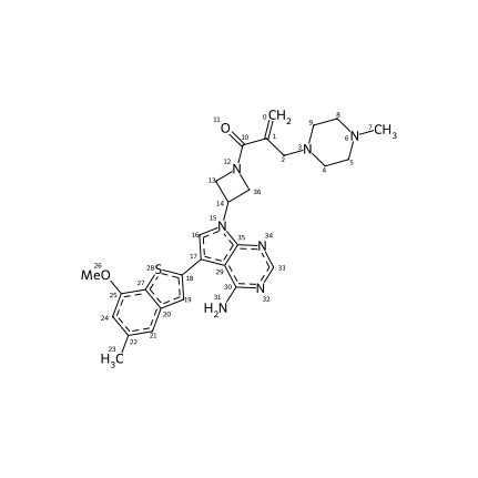 C=C(CN1CCN(C)CC1)C(=O)N1CC(n2cc(-c3cc4cc(C)cc(OC)c4s3)c3c(N)ncnc32)C1